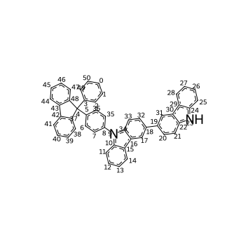 c1ccc(C2(c3ccc(-n4c5ccccc5c5cc(-c6ccc7[nH]c8ccccc8c7c6)ccc54)cc3)c3ccccc3-c3ccccc32)cc1